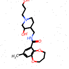 Cc1cc2c(c(C(=O)NCC3CCN(CCCO)CC3O)c1)OCCCO2